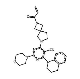 C=CC(=O)N1CC2(CCN(c3nc(N4CCOCC4)nc(N4CCCc5ccccc54)c3C#N)C2)C1